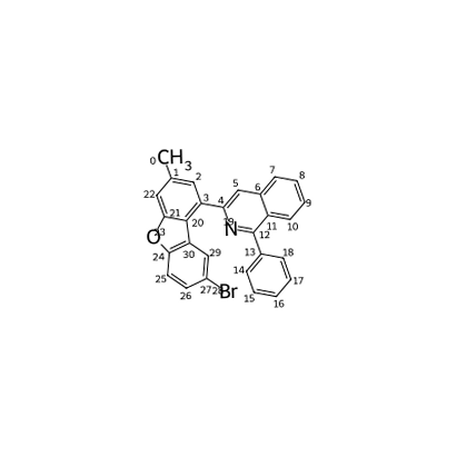 Cc1cc(-c2cc3ccccc3c(-c3ccccc3)n2)c2c(c1)oc1ccc(Br)cc12